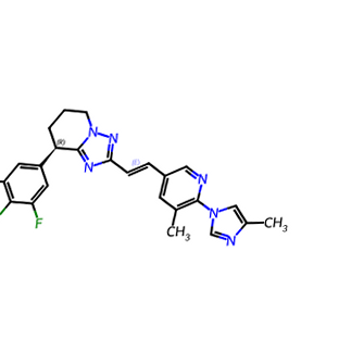 Cc1cn(-c2ncc(/C=C/c3nc4n(n3)CCC[C@@H]4c3cc(F)c(F)c(F)c3)cc2C)cn1